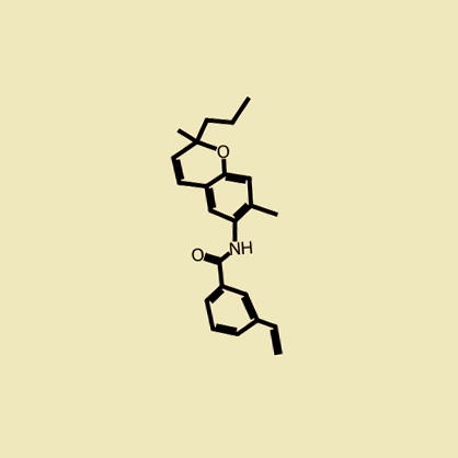 C=Cc1cccc(C(=O)Nc2cc3c(cc2C)OC(C)(CCC)C=C3)c1